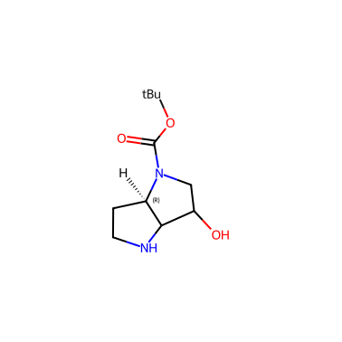 CC(C)(C)OC(=O)N1CC(O)C2NCC[C@H]21